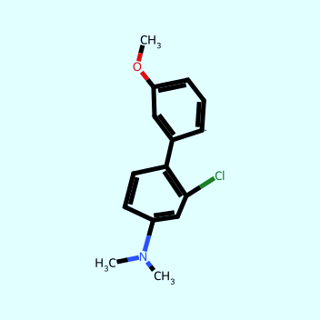 COc1cc[c]c(-c2ccc(N(C)C)cc2Cl)c1